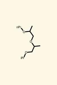 [CH2]C(C)OCC(C)OCC(C)OCCC